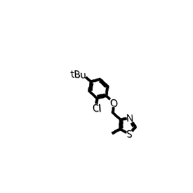 Cc1scnc1COc1ccc(C(C)(C)C)cc1Cl